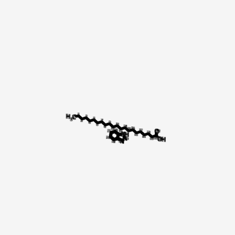 CCCCCCCCCCCCCCCCCCCCCC(=O)O.c1ccc2[nH]nnc2c1